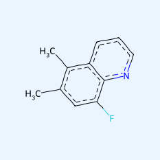 Cc1cc(F)c2ncccc2c1C